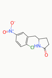 O=C1CCC(Cc2cc([N+](=O)[O-])ccc2Cl)N1